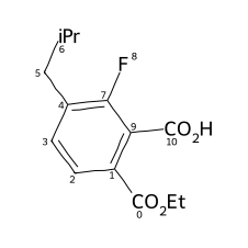 CCOC(=O)c1ccc(CC(C)C)c(F)c1C(=O)O